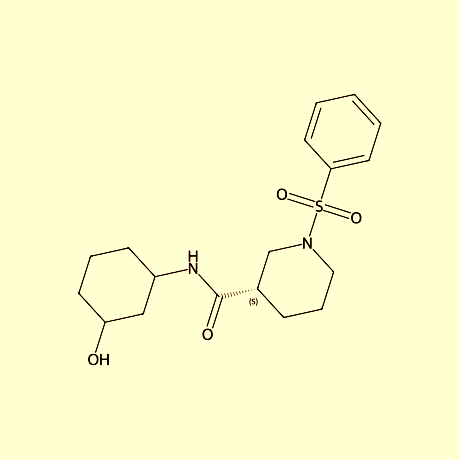 O=C(NC1CCCC(O)C1)[C@H]1CCCN(S(=O)(=O)c2ccccc2)C1